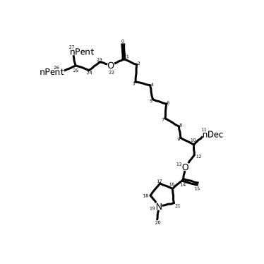 C=C(CCCCCCCCC(CCCCCCCCCC)COC(=C)C1CCN(C)C1)OCCC(CCCCC)CCCCC